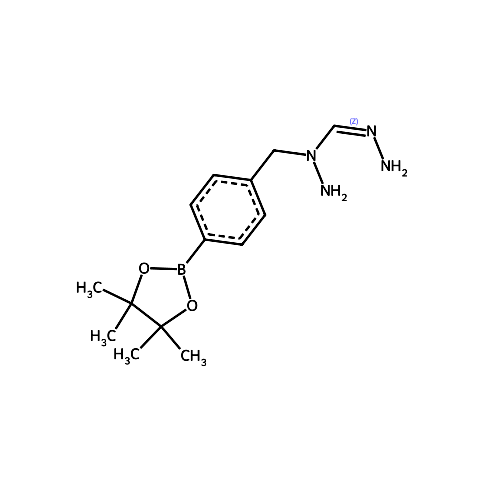 CC1(C)OB(c2ccc(CN(N)/C=N\N)cc2)OC1(C)C